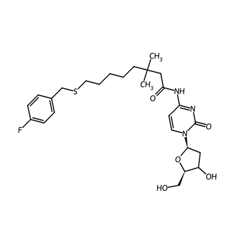 CC(C)(CCCCCSCc1ccc(F)cc1)CC(=O)Nc1ccn([C@H]2CC(O)[C@@H](CO)O2)c(=O)n1